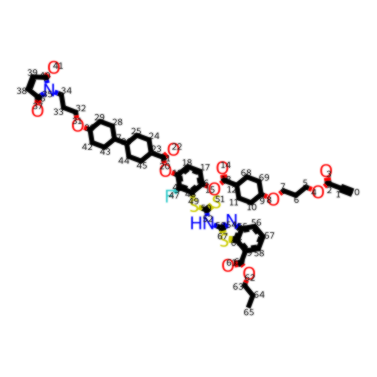 C#CC(=O)OCCCOC1CCC(C(=O)Oc2ccc(OC(=O)C3CCC(C4CCC(OCCCN5C(=O)C=CC5=O)CC4)CC3)c(F)c2SC(=S)Nc2nc3cccc(C(=O)OCCC)c3s2)CC1